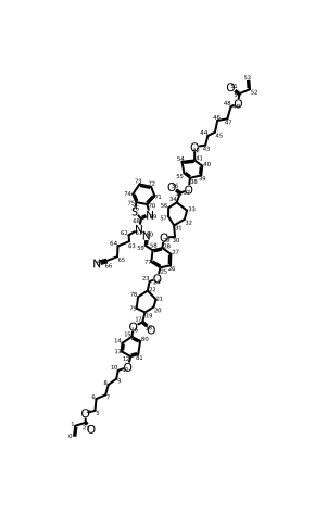 C=CC(=O)OCCCCCCOc1ccc(OC(=O)C2CCC(COc3ccc(OCC4CCC(C(=O)Oc5ccc(OCCCCCCOC(=O)C=C)cc5)CC4)c(/C=N/N(CCCCC#N)c4nc5ccccc5s4)c3)CC2)cc1